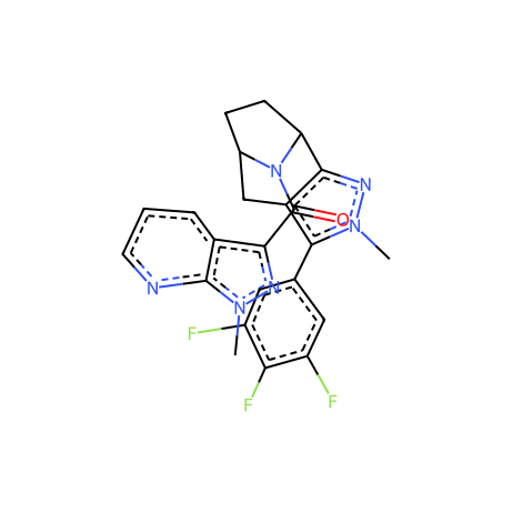 Cn1nc2c(c1-c1cc(F)c(F)c(F)c1)CC1CCC2N1C(=O)c1nn(C)c2ncccc12